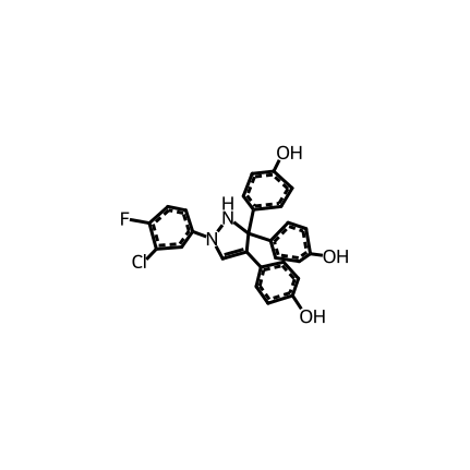 Oc1ccc(C2=CN(c3ccc(F)c(Cl)c3)NC2(c2ccc(O)cc2)c2ccc(O)cc2)cc1